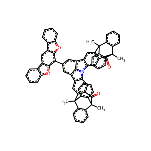 CC12C(=O)c3cc4c(cc3C(C)(c3ccccc31)c1ccccc12)c1cc(-c2c3oc5ccccc5c3cc3c2oc2ccccc23)cc2c3cc5c(cc3n4c12)C(=O)C1(C)c2ccccc2C5(C)c2ccccc21